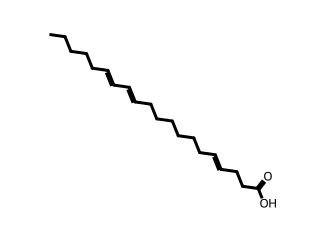 CCCCCC=CC=CCCCCCCC=CCCC(=O)O